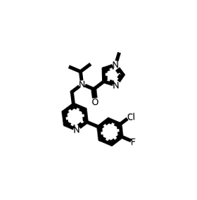 CC(C)N(Cc1ccnc(-c2ccc(F)c(Cl)c2)c1)C(=O)c1cn(C)cn1